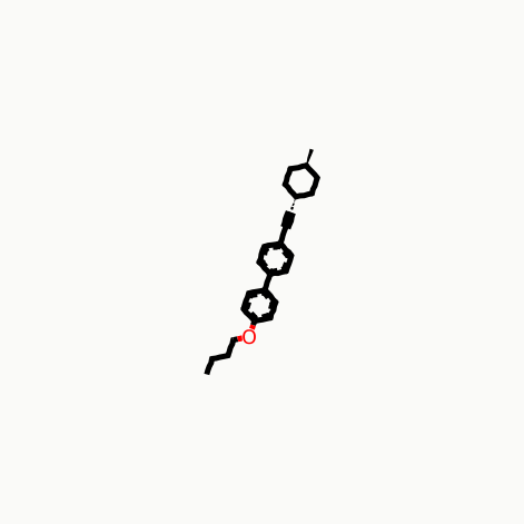 CCCCOc1ccc(-c2ccc(C#C[C@H]3CC[C@H](C)CC3)cc2)cc1